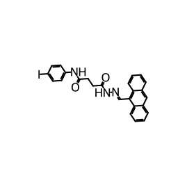 O=C(CCC(=O)Nc1ccc(I)cc1)N/N=C/c1c2ccccc2cc2ccccc12